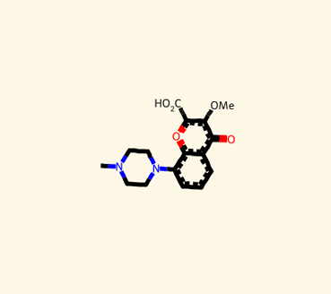 COc1c(C(=O)O)oc2c(N3CCN(C)CC3)cccc2c1=O